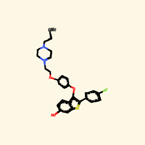 COCCN1CCN(CCOc2ccc(Oc3c(-c4ccc(F)cc4)sc4cc(O)ccc34)cc2)CC1